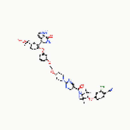 Cn1cc(-c2cc(C(C)(C)O)ccc2Oc2cccc(OCCOC3CCN(c4ncc(C(=O)NC5C(C)(C)C(Oc6ccc(C#N)c(Cl)c6)C5(C)C)cn4)CC3)c2)c2cc[nH]c2c1=O